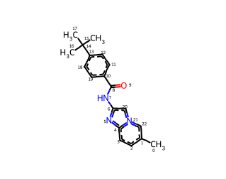 Cc1ccc2nc(NC(=O)c3ccc(C(C)(C)C)cc3)cn2c1